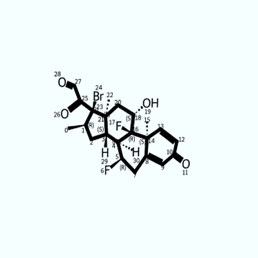 C[C@@H]1C[C@H]2[C@@H]3[C@H](F)CC4=CC(=O)C=C[C@]4(C)[C@@]3(F)[C@@H](O)C[C@]2(C)[C@@]1(Br)C(=O)C=O